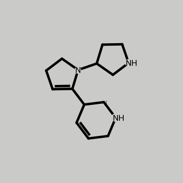 [C]1NCC=CC1C1=CCCN1C1CCNC1